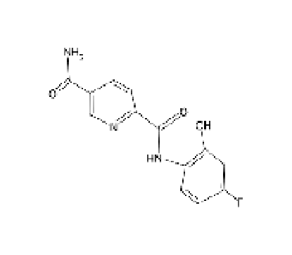 NC(=O)c1ccc(C(=O)Nc2ccc(F)cc2O)nc1